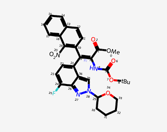 COC(=O)/C(NC(=O)OC(C)(C)C)=C(\c1ccc2ccccc2c1[N+](=O)[O-])c1ccc(F)c2nn(C3CCCCO3)cc12